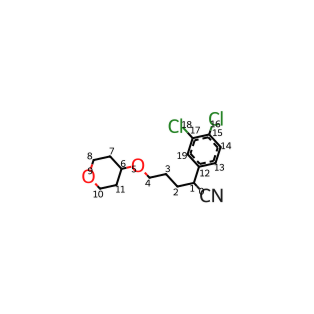 N#CC(CCCOC1CCOCC1)c1ccc(Cl)c(Cl)c1